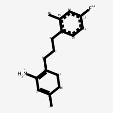 CC1=CC(N)=C(CCCc2ccc(F)cc2C)CC1